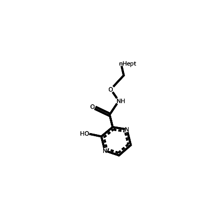 CCCCCCCCONC(=O)c1nccnc1O